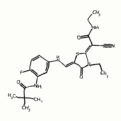 CCNC(=O)C(C#N)=c1sc(=CNc2ccc(F)c(NC(=O)C(C)(C)C)c2)c(=O)n1CC